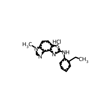 CCc1ccccc1Nc1nc2c(ccc3c2ncn3C)s1.Cl